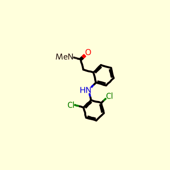 CNC(=O)Cc1ccccc1Nc1c(Cl)cccc1Cl